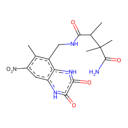 Cc1c([N+](=O)[O-])cc2[nH]c(=O)c(=O)[nH]c2c1CNC(=O)C(C)C(C)(C)C(N)=O